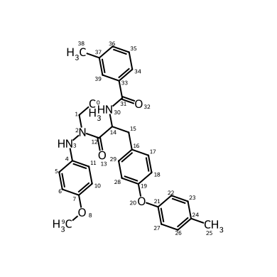 CCN(Nc1ccc(OC)cc1)C(=O)C(Cc1ccc(Oc2ccc(C)cc2)cc1)NC(=O)c1cccc(C)c1